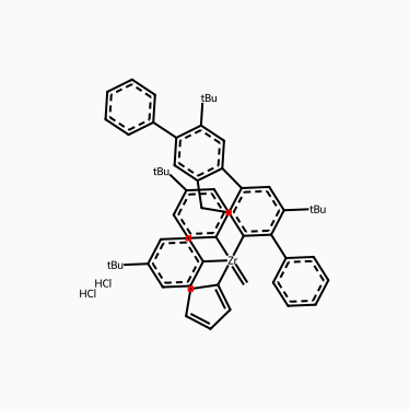 Cl.Cl.[CH2]=[Zr]([C]1=CC=CC1)([c]1ccc(C(C)(C)C)cc1)([c]1ccc(C(C)(C)C)cc1)[c]1c2c(cc(C(C)(C)C)c1-c1ccccc1)-c1cc(C(C)(C)C)c(-c3ccccc3)cc1C2